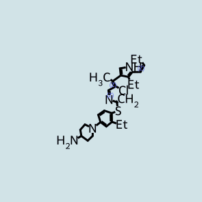 C=C(/N=C\C(Cl)=C(/C)c1c[nH]c(/C=C\CC)c1CC)Sc1ccc(N2CCC(N)CC2)cc1CC